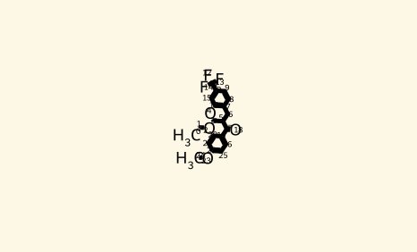 CCOC(=O)C(Cc1ccc(C(F)(F)F)cc1)C(=O)c1ccc(OC)cc1